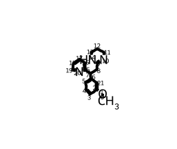 COc1cccc(C(CC2=NCCCN2)c2ccccn2)c1